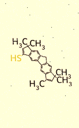 CC1=CC(C)(C)c2cc3c(cc21)-c1cc2c(cc1C3)C(C)(C)C=C2S